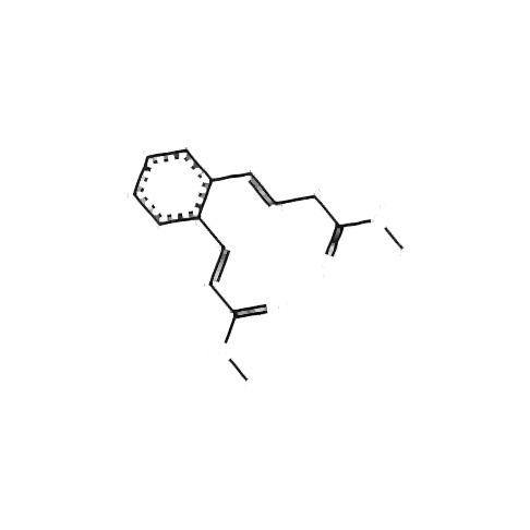 COC(=O)/C=C/c1ccccc1C=CCC(=O)OC